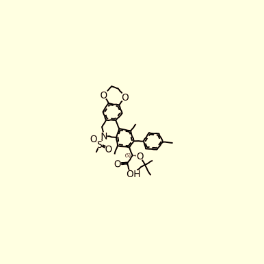 Cc1ccc(-c2c(C)c3c(c(C)c2[C@H](OC(C)(C)C)C(=O)O)N(S(C)(=O)=O)Cc2cc4c(cc2-3)OCCO4)cc1